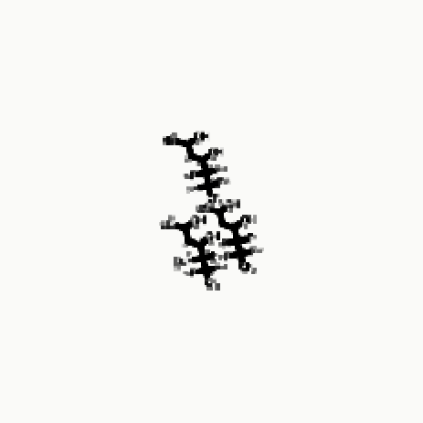 CC(C)(C)C(O)CC(O)C(F)(F)C(F)(F)C(F)(F)F.CC(C)(C)C(O)CC(O)C(F)(F)C(F)(F)C(F)(F)F.CC(C)(C)C(O)CC(O)C(F)(F)C(F)(F)C(F)(F)F.[Eu]